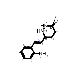 Nc1ccccc1/C=C/C1CCC(=O)NN1